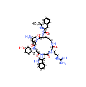 N=C(N)NCCC[C@@H]1NC(=O)[C@H](Cc2c[nH]c3ccccc23)NC(=O)[C@@H](C[C@H]2CC[C@@H](O)CC2)NC(=O)[C@@H]2C[C@H](N)CN2C(=O)[C@@H](NC(=O)C(Cc2ccccc2)NCC(=O)O)CCCNC1=O